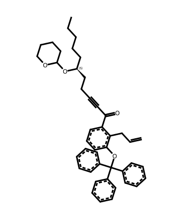 C=CCc1c(OC(c2ccccc2)(c2ccccc2)c2ccccc2)cccc1C(=O)C#CCC[C@H](CCCCC)OC1CCCCO1